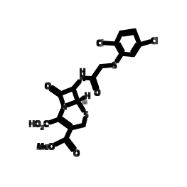 COC(=O)C1=C(C(=O)O)N2C(=O)C(NC(=O)CSc3cc(Cl)ccc3Cl)[C@@H]2SC1